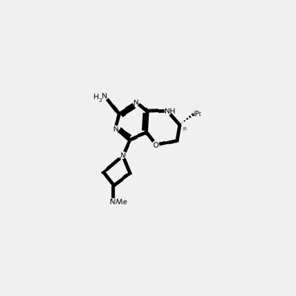 CNC1CN(c2nc(N)nc3c2OC[C@@H](C(C)C)N3)C1